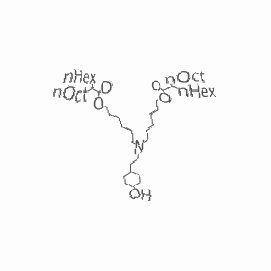 CCCCCCCCC(CCCCCC)C(=O)OCCCCCCN(CCCCCCOC(=O)C(CCCCCC)CCCCCCCC)CCC1CCC(O)CC1